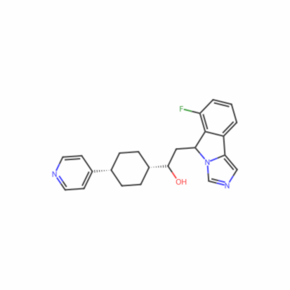 OC(CC1c2c(F)cccc2-c2cncn21)[C@H]1CC[C@@H](c2ccncc2)CC1